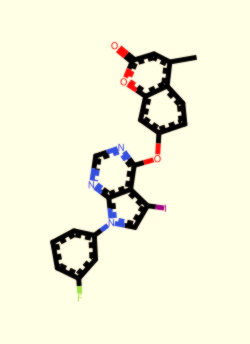 Cc1cc(=O)oc2cc(Oc3ncnc4c3c(I)cn4-c3cccc(F)c3)ccc12